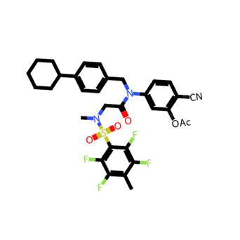 CC(=O)Oc1cc(N(Cc2ccc(C3CCCCC3)cc2)C(=O)CN(C)S(=O)(=O)c2c(F)c(F)c(C)c(F)c2F)ccc1C#N